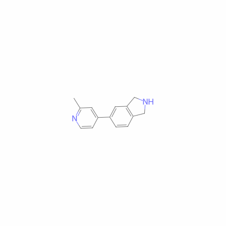 Cc1cc(-c2ccc3c(c2)CNC3)ccn1